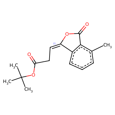 Cc1cccc2c1C(=O)O/C2=C/CC(=O)OC(C)(C)C